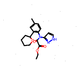 CCOC(=O)C(=O)N(c1cc[nH]n1)c1ccc(C)cc1C1CCCCO1